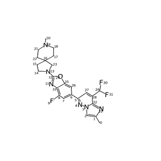 Cc1cn2nc(-c3cc(F)c4nc(N5CCC6(CCN(C)CC6)C5)oc4c3)cc(C(F)F)c2n1